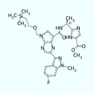 COC(=O)c1cnc([C@H](C)NC(=O)c2cn(COCC[Si](C)(C)C)c3ncc(-c4nn(C)c5cc(F)ccc45)nc23)[nH]1